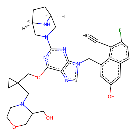 C#Cc1c(F)ccc2cc(O)cc(Cn3cnc4c(OCC5(CN6CCOCC6CO)CC5)nc(N5C[C@H]6CC[C@@H](C5)N6)nc43)c12